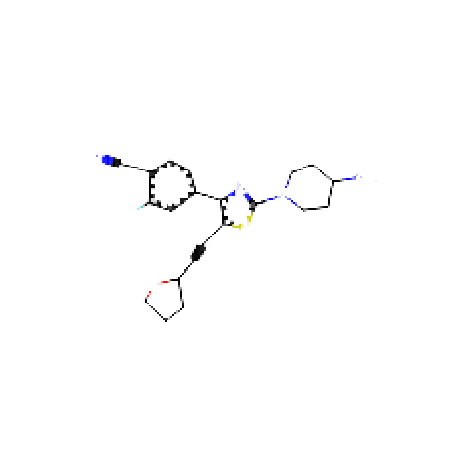 N#Cc1ccc(-c2nc(N3CCC(N)CC3)sc2C#CC2CCCO2)cc1F